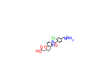 NN=Cc1ccc(C(=O)Nc2ccc3c(c2)CCC(CC(=O)O)O3)c(Cl)c1